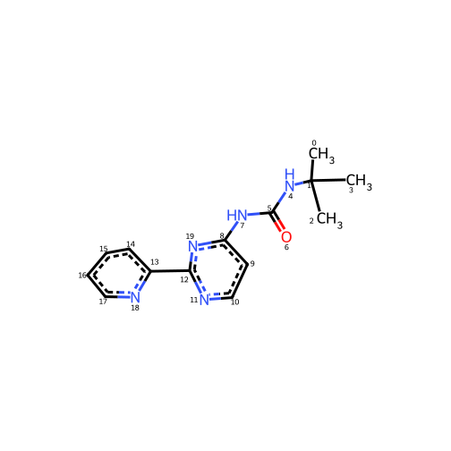 CC(C)(C)NC(=O)Nc1ccnc(-c2ccccn2)n1